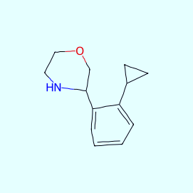 c1ccc(C2COCCN2)c(C2CC2)c1